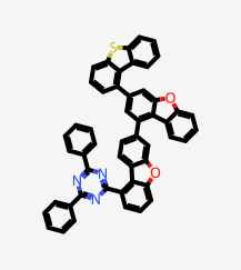 c1ccc(-c2nc(-c3ccccc3)nc(-c3cccc4oc5cc(-c6cc(-c7cccc8sc9ccccc9c78)cc7oc8ccccc8c67)ccc5c34)n2)cc1